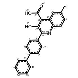 Cc1ccc2nc(-c3ccc(-c4ccccc4)cc3)c(O)c(C(=O)O)c2c1